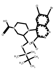 CC(C)(C)[Si](C)(C)OCC1CN(C(=O)O)CCN1c1c([N+](=O)[O-])nnc2cc(Br)c(Cl)cc12